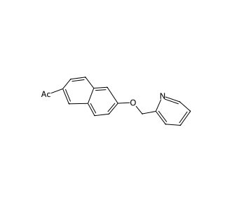 CC(=O)c1ccc2cc(OCc3ccccn3)ccc2c1